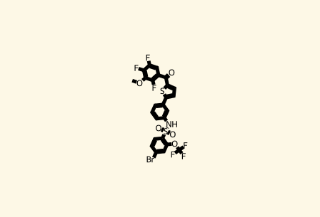 COc1c(F)c(F)cc(C(=O)c2ccc(-c3cccc(NS(=O)(=O)c4ccc(Br)cc4OC(F)(F)F)c3)s2)c1F